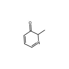 CC1N=CC=CC1=O